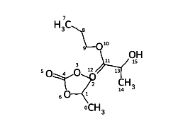 CC1COC(=O)O1.CCCOC(=O)C(C)O